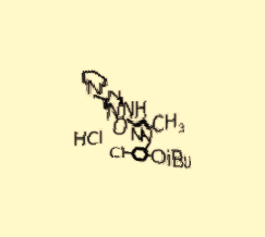 Cc1cc(C(=O)Nc2cnc(CN3CCCCC3)cn2)nn1Cc1cc(Cl)ccc1OCC(C)C.Cl